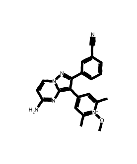 CO[n+]1c(C)cc(-c2c(-c3cccc(C#N)c3)nn3ccc(N)nc23)cc1C